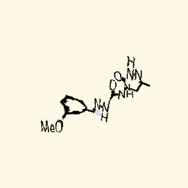 COc1cccc(/C=N/NC(=O)NN2CC(C)=NNC2=O)c1